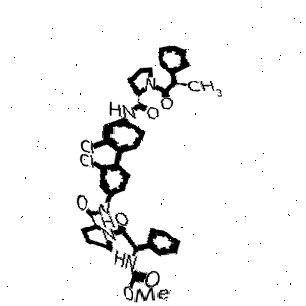 COC(=O)N[C@@H](C(=O)N1CCC[C@H]1C(=O)Nc1ccc(-c2ccc(NC(=O)[C@@H]3CCCN3C(=O)[C@H](C)c3ccccc3)cc2Cl)c(Cl)c1)c1ccccc1